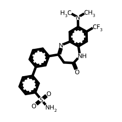 CN(C)c1cc2c(cc1C(F)(F)F)NC(=O)CC(c1cccc(-c3cccc(S(N)(=O)=O)c3)c1)=N2